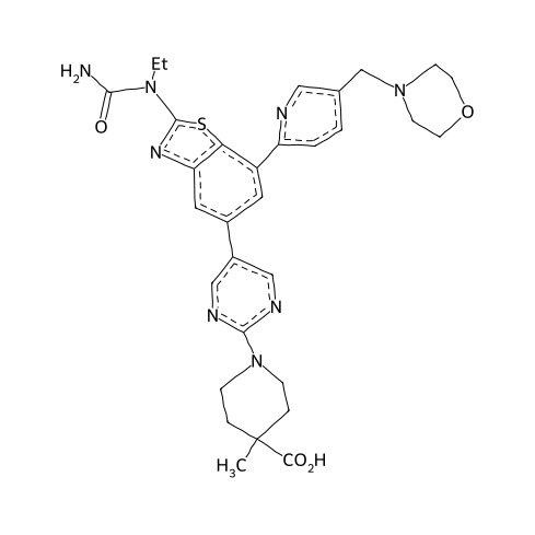 CCN(C(N)=O)c1nc2cc(-c3cnc(N4CCC(C)(C(=O)O)CC4)nc3)cc(-c3ccc(CN4CCOCC4)cn3)c2s1